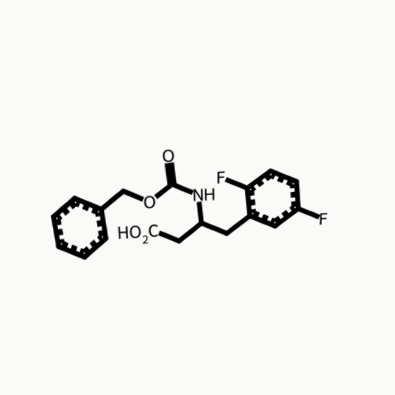 O=C(O)CC(Cc1cc(F)ccc1F)NC(=O)OCc1ccccc1